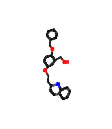 OCc1cc(OCCc2ccc3ccccc3n2)ccc1OCc1ccccc1